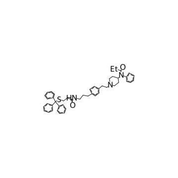 CCC(=O)N(c1ccccc1)C1CCN(CCc2ccc(CCCNC(=O)CCSC(c3ccccc3)(c3ccccc3)c3ccccc3)cc2)CC1